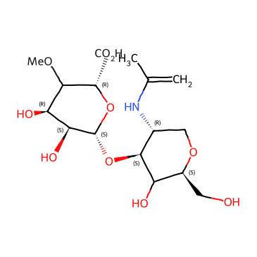 C=C(C)N[C@@H]1CO[C@@H](CO)C(O)[C@H]1O[C@H]1O[C@@H](C(=O)O)C(OC)[C@H](O)[C@@H]1O